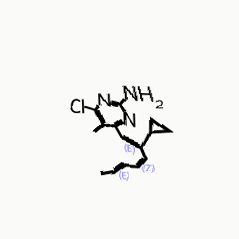 C/C=C/C=C\C(=C\c1nc(N)nc(Cl)c1C)C1CC1